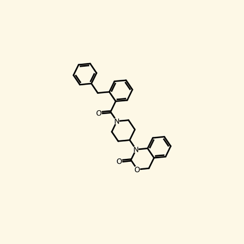 O=C(c1ccccc1Cc1ccccc1)N1CCC(N2C(=O)OCc3ccccc32)CC1